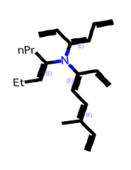 C=C/C=C(\C=C)N(/C(C=C)=C/C=C(\C)C=C)/C(=C/CC)CCC